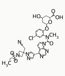 CCS(=O)(=O)N1CC(CC#N)(n2cc(-c3ncnc4c3ccn4C(=O)N(C)c3cc(Cl)ccc3O[C@H]3C[C@@H](O)C[C@@H](C(=O)O)O3)cn2)C1